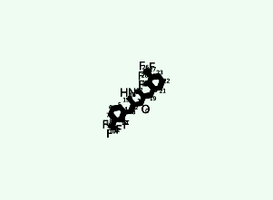 O=C1/C(=C/c2cccc(C(F)(F)F)c2F)CNC/C1=C\c1cccc(C(F)(F)F)c1F